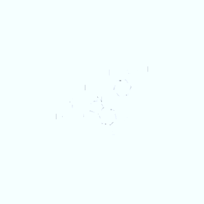 COc1c(F)ccc(C(F)n2c(C)c(OC(C)=O)c3cc(F)c(Cl)cc32)c1F